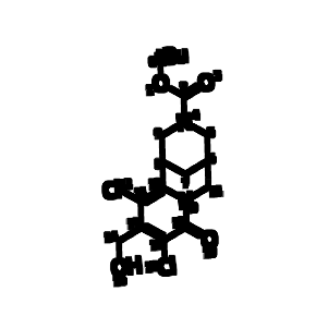 CC(C)(C)OC(=O)N1CC2CC(C1)c1c(Cl)c(CO)c(Cl)c(=O)n1C2